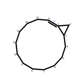 C1=C2/CC2CCCCCCCCCCC/1